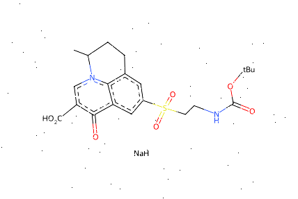 CC1CCc2cc(S(=O)(=O)CCNC(=O)OC(C)(C)C)cc3c(=O)c(C(=O)O)cn1c23.[NaH]